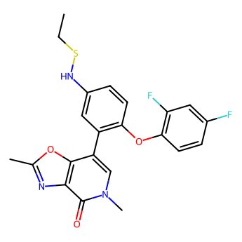 CCSNc1ccc(Oc2ccc(F)cc2F)c(-c2cn(C)c(=O)c3nc(C)oc23)c1